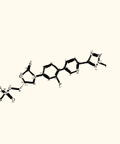 Cn1nnc(-c2ccc(-c3ccc(N4C[C@H](COS(C)(=O)=O)OC4=O)cc3F)cn2)n1